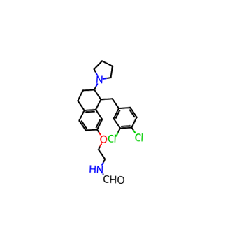 O=CNCCOc1ccc2c(c1)C(Cc1ccc(Cl)c(Cl)c1)C(N1CCCC1)CC2